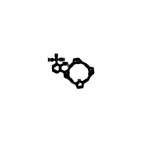 Nc1c(C2=CC3=CC4=NC(=CC5=NC(=CC6=NC(=CC2=N3)C=C6)C=C5)C=C4)cccc1P(=O)(O)O